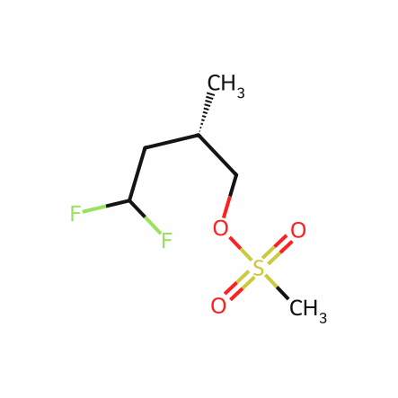 C[C@H](COS(C)(=O)=O)CC(F)F